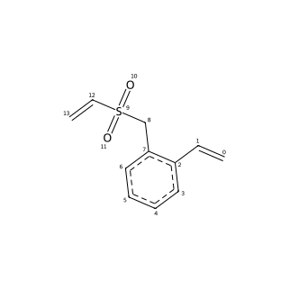 C=Cc1ccccc1CS(=O)(=O)C=C